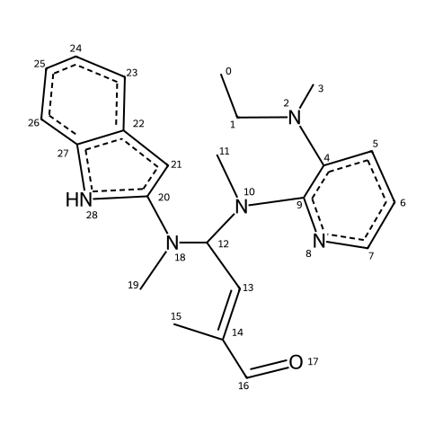 CCN(C)c1cccnc1N(C)C(/C=C(\C)C=O)N(C)c1cc2ccccc2[nH]1